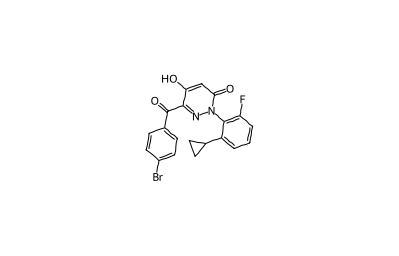 O=C(c1ccc(Br)cc1)c1nn(-c2c(F)cccc2C2CC2)c(=O)cc1O